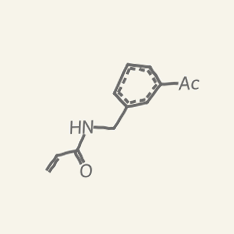 C=CC(=O)NCc1cccc(C(C)=O)c1